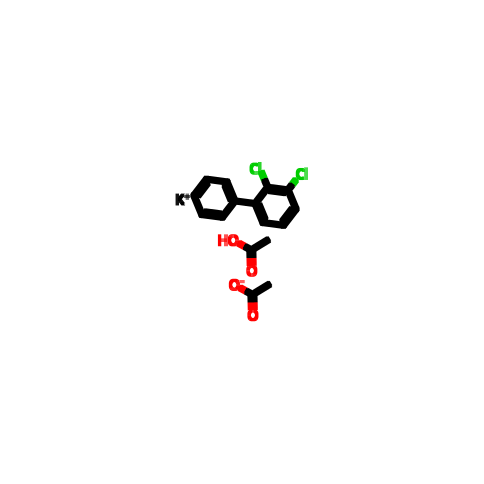 CC(=O)O.CC(=O)[O-].Clc1cccc(-c2ccccc2)c1Cl.[K+]